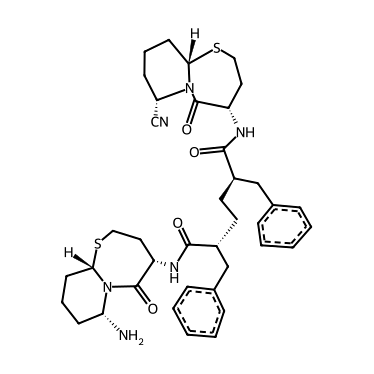 N#C[C@@H]1CCC[C@@H]2SCC[C@H](NC(=O)[C@H](CC[C@H](Cc3ccccc3)C(=O)N[C@H]3CCS[C@H]4CCC[C@@H](N)N4C3=O)Cc3ccccc3)C(=O)N12